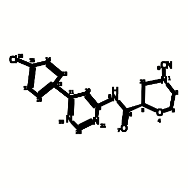 N#CN1CCO[C@@H](C(=O)Nc2cc(-c3ccc(Cl)cc3)ncn2)C1